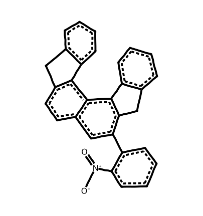 O=[N+]([O-])c1ccccc1-c1cc2ccc3c(c2c2c1Cc1ccccc1-2)-c1ccccc1C3